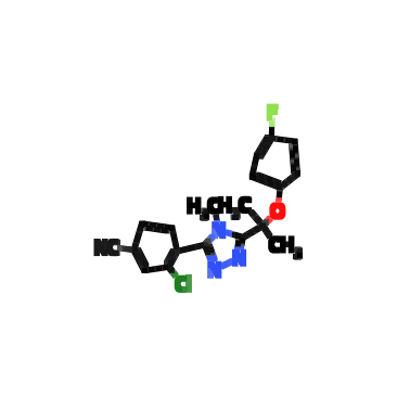 Cn1c(-c2ccc(C#N)cc2Cl)nnc1C(C)(C)Oc1ccc(F)cc1